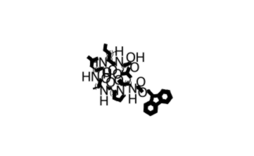 CC[C@H](C)[C@H](NC(=O)[C@H](CC(C)C)NC(=O)[C@H](C)NC(=O)[C@@H]1CCCN1C(=O)[C@H](CC(C)C)NC(=O)OCC1c2ccccc2-c2ccccc21)C(=O)N[C@@H](CO)C(=O)O